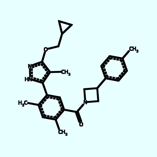 Cc1ccc(C2CN(C(=O)c3cc(-c4[nH]nc(OCC5CC5)c4C)c(C)cc3C)C2)cc1